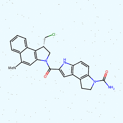 CNc1cc2c(c3ccccc13)[C@H](CCl)CN2C(=O)c1cc2c3c(ccc2[nH]1)N(C(N)=O)CC3